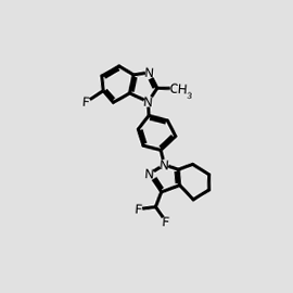 Cc1nc2ccc(F)cc2n1-c1ccc(-n2nc(C(F)F)c3c2CCCC3)cc1